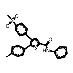 CS(=O)(=O)c1ccc(-c2cc(C(=O)Nc3ccccc3)sc2-c2ccc(F)cc2)cc1